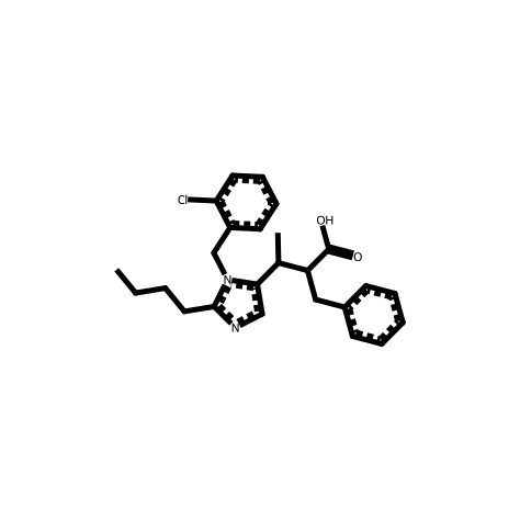 CCCCc1ncc(C(C)C(Cc2ccccc2)C(=O)O)n1Cc1ccccc1Cl